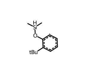 C[SiH](C)Oc1[c]cccc1C(C)(C)C